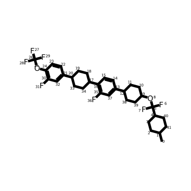 CC1CCC(C(F)(F)OC2CCC(c3ccc(C4CCC(c5ccc(OC(F)(F)F)c(F)c5)CC4)c(F)c3)CC2)CC1